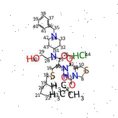 CC(C)(C)OC(=O)N1CSC[C@H]1C(=O)N[C@@H](CSCC1CCCCC1)C(=O)N(CCO)C1CCN(Cc2ccccc2)CC1.Cl